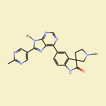 CCn1c(-c2cnc(C)nc2)nc2c(-c3ccc4c(c3)C3(CCN(C(C)C)C3)C(=O)N4)ncnc21